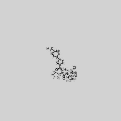 Cc1ncc(-c2ccc(C(=O)N[C@H](C(=O)N3C[C@H](Cl)[C@H]4OC[C@H](O)[C@H]43)C3CCCC3)s2)cn1